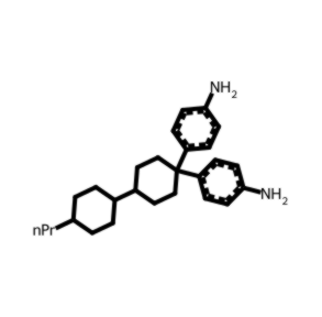 CCCC1CCC(C2CCC(c3ccc(N)cc3)(c3ccc(N)cc3)CC2)CC1